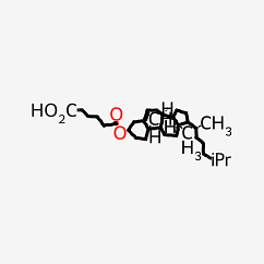 CC(C)CCC[C@@H](C)C1CC[C@H]2[C@@H]3CC=C4C[C@@H](OC(=O)CCCCC(=O)O)CC[C@]4(C)[C@H]3CC[C@]12C